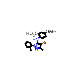 COc1ccc(Nc2c(Br)c(C)nn2-c2ccccc2C)c(C(=O)O)c1